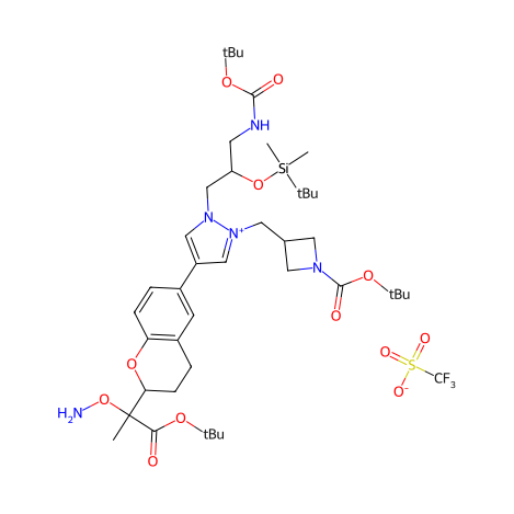 CC(C)(C)OC(=O)NCC(Cn1cc(-c2ccc3c(c2)CCC(C(C)(ON)C(=O)OC(C)(C)C)O3)c[n+]1CC1CN(C(=O)OC(C)(C)C)C1)O[Si](C)(C)C(C)(C)C.O=S(=O)([O-])C(F)(F)F